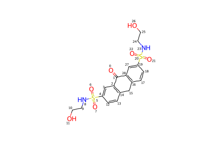 O=C1c2cc(S(=O)(=O)NCCO)ccc2Cc2ccc(S(=O)(=O)NCCO)cc21